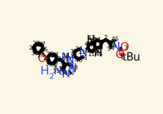 CC(C)(C)OC(=O)N1CC(CC2C[C@@H]3CC(N4CCC(n5nc(-c6ccc(Oc7ccccc7)cc6)c6c(N)ncnc65)CC4)C[C@@H]3C2)C1